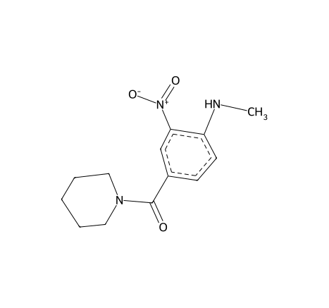 CNc1ccc(C(=O)N2CCCCC2)cc1[N+](=O)[O-]